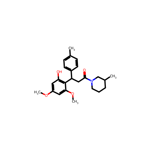 COc1cc(O)c(C(CC(=O)N2CCCC(C)C2)c2ccc(C)cc2)c(OC)c1